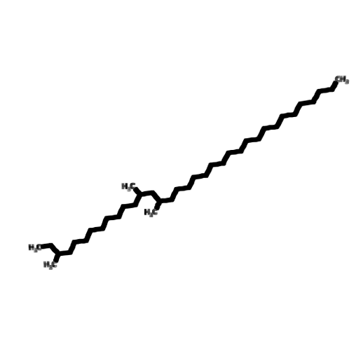 CCCCCCCCCCCCCCCCCCCCC(C)CC(C)CCCCCCCCCC(C)CC